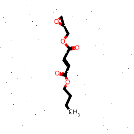 CCCCOC(=O)C=CC(=O)OCC1CO1